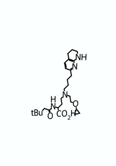 CC(C)(C)CC(=O)NC(CCN(CCCCc1ccc2c(n1)NCCC2)CCOC1CC1)C(=O)O